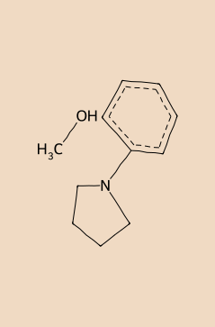 CO.c1ccc(N2CCCC2)cc1